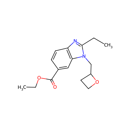 CCOC(=O)c1ccc2nc(CC)n(CC3CCO3)c2c1